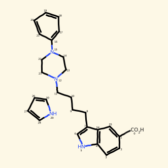 O=C(O)c1ccc2[nH]cc(CCCCN3CCN(c4ccccc4)CC3)c2c1.c1cc[nH]c1